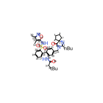 CCCCC1=NC2(CCCC2)C(=O)N1Cc1ccc(-c2ccccc2S(=O)(=O)Nc2onc(C)c2C)c(NC(=O)CC(C)(C)C)c1